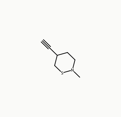 C#CC1CCN(C)SC1